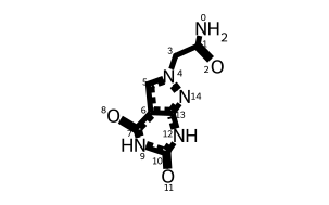 NC(=O)Cn1cc2c(=O)[nH]c(=O)[nH]c2n1